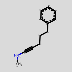 CNC#CCCCc1ccccc1